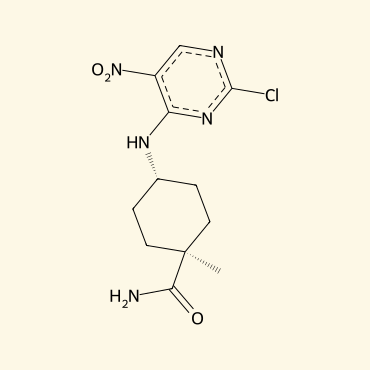 C[C@]1(C(N)=O)CC[C@H](Nc2nc(Cl)ncc2[N+](=O)[O-])CC1